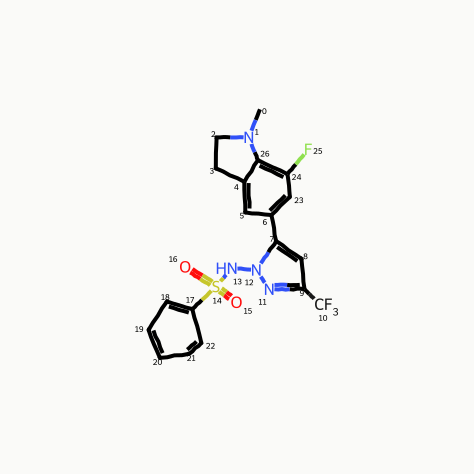 CN1CCc2cc(-c3cc(C(F)(F)F)nn3NS(=O)(=O)c3ccccc3)cc(F)c21